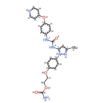 CC(C)(C)c1cc(NC(=O)Nc2ccc(Oc3ccncc3)cc2)n(-c2ccc(OCCOC(N)=O)cc2)n1